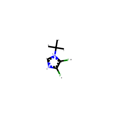 CC(C)(C)n1cnc(F)c1F